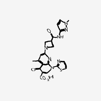 Cc1cc(N2CC(C(=O)Nc3ccn(C)n3)C2)nc2c1c(=O)c(C(=O)O)cn2-c1nccs1